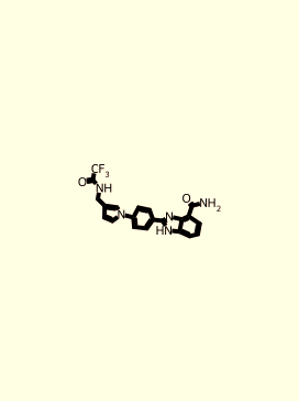 NC(=O)c1cccc2[nH]c(-c3ccc(-n4ccc(CNC(=O)C(F)(F)F)c4)cc3)nc12